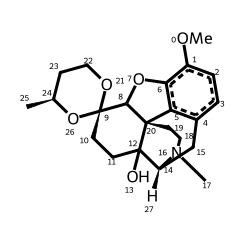 COc1ccc2c3c1OC1[C@@]4(CCC5(O)[C@@H](C2)N(C)CC[C@]315)OCC[C@H](C)O4